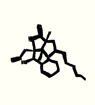 CCCCOC1C[C@H]2C(=O)N[C@](CN=O)([C@H](O)[C@@H]3C=CCCC3)[C@@]2(C)O1